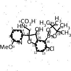 COc1cccc(C2(CNC(=O)O)Oc3ccc(Cl)c(B4OC(C)(C)C(C)(C)O4)c3C2O)n1